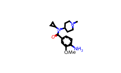 COc1cc(C(=O)N(C2CC2)C2CCN(C)CC2)ccc1N